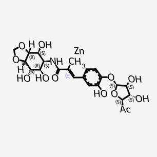 CC(=O)[C@H]1O[C@@H](Oc2ccc(/C=C(\C)C(=O)N[C@H]3[C@@H](O)[C@H](O)[C@@H]4OCO[C@@H]4[C@H]3O)cc2O)[C@@H](O)[C@@H]1O.[Zn]